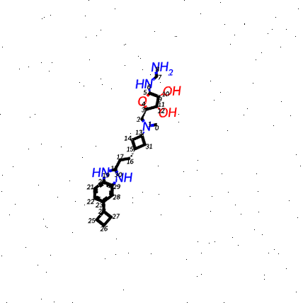 CN(C[C@H]1O[C@@H](NCN)[C@H](O)[C@@H]1O)[C@H]1C[C@@H](CCC2Nc3ccc(C4CCC4)cc3N2)C1